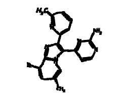 Cc1cc(Br)c2nc(-c3cccc(C)n3)c(-c3ccnc(N)n3)n2c1